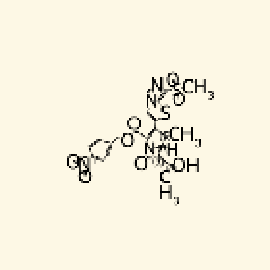 C[C@@H](O)[C@H]1C(=O)N2C(C(=O)OCc3ccc([N+](=O)[O-])cc3)=C(c3cn4cnc(S(C)(=O)=O)c4s3)[C@H](C)[C@H]12